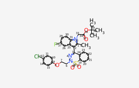 Cc1c(C2=NN(CCOc3ccc(Cl)cc3)S(=O)(=O)c3ccccc32)c2cc(F)ccc2n1CC(=O)OC(C)(C)C